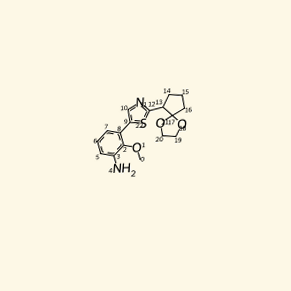 COc1c(N)cccc1-c1cnc(C2CCCC23OCCO3)s1